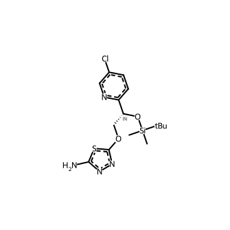 CC(C)(C)[Si](C)(C)O[C@H](COc1nnc(N)s1)c1ccc(Cl)cn1